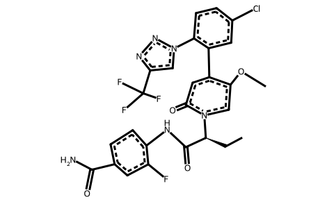 CC[C@@H](C(=O)Nc1ccc(C(N)=O)cc1F)n1cc(OC)c(-c2cc(Cl)ccc2-n2cc(C(F)(F)F)nn2)cc1=O